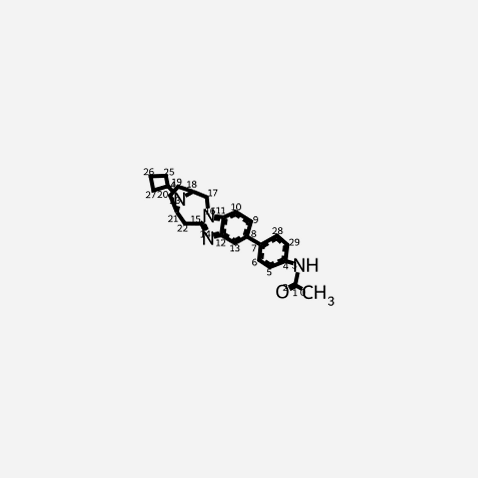 CC(=O)Nc1ccc(-c2ccc3c(c2)nc2n3CC3CCC(C2)N3C2CCC2)cc1